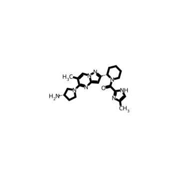 Cc1c[nH]c(C(=O)N2CCCC[C@H]2c2cc3nc(N4CC[C@H](N)C4)c(C)cn3n2)n1